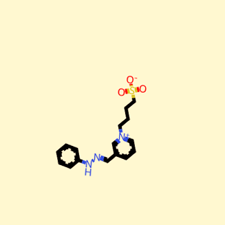 O=S(=O)([O-])CCCC[n+]1cccc(C=NNc2ccccc2)c1